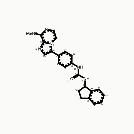 CNc1nccn2c(-c3ccc(NC(=O)NC4CCc5ccccc54)cc3)cnc12